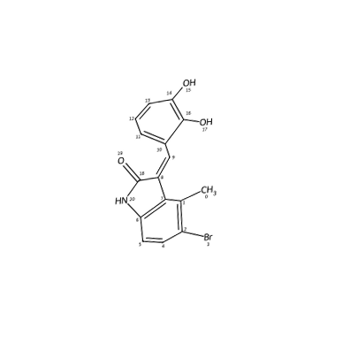 Cc1c(Br)ccc2c1C(=Cc1cccc(O)c1O)C(=O)N2